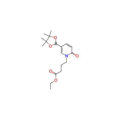 CCOC(=O)CCCn1cc(B2OC(C)(C)C(C)(C)O2)ccc1=O